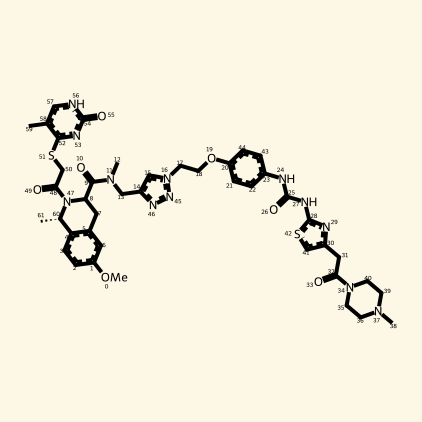 COc1ccc2c(c1)CC(C(=O)N(C)Cc1cn(CCOc3ccc(NC(=O)Nc4nc(CC(=O)N5CCN(C)CC5)cs4)cc3)nn1)N(C(=O)CSc1nc(=O)[nH]cc1C)[C@H]2C